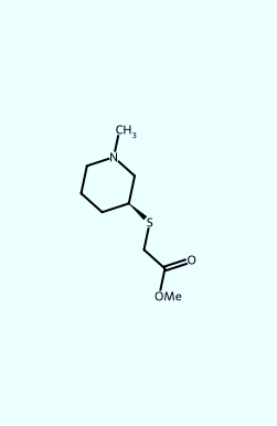 COC(=O)CS[C@H]1CCCN(C)C1